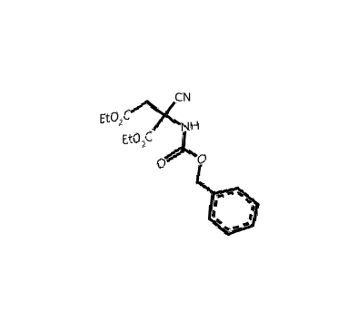 CCOC(=O)CC(C#N)(NC(=O)OCc1ccccc1)C(=O)OCC